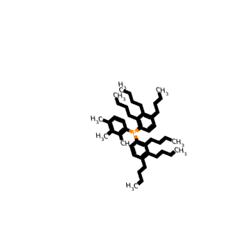 CCCCc1ccc(P(c2ccc(C)c(C)c2C)c2ccc(CCCC)c(CCCC)c2CCCC)c(CCCC)c1CCCC